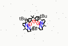 CCc1ccc2n1P(Oc1cc(C(C)(C)C)cc3c1Oc1c(OP4n5c(CC)ccc5C(C)c5ccc(CC)n54)cc(C(C)(C)C)cc1C3(C)C)n1c(CC)ccc1C2C